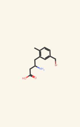 Cc1ccc(CBr)cc1CC(N)CC(=O)O